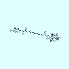 O=C(CCCC/C=C/CCCC(=O)NCCOP(=O)(O)O)NCCCC(O)(P(=O)(O)O)P(=O)(O)O